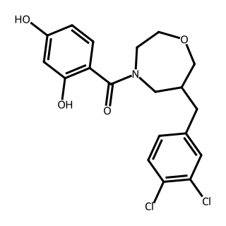 O=C(c1ccc(O)cc1O)N1CCOCC(Cc2ccc(Cl)c(Cl)c2)C1